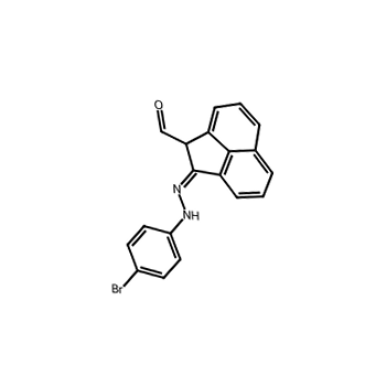 O=CC1/C(=N/Nc2ccc(Br)cc2)c2cccc3cccc1c23